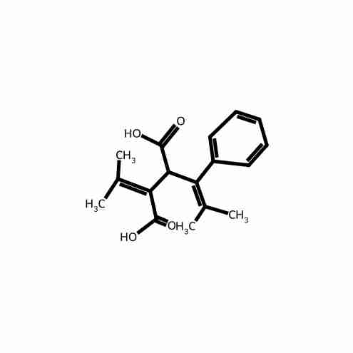 CC(C)=C(C(=O)O)C(C(=O)O)C(=C(C)C)c1ccccc1